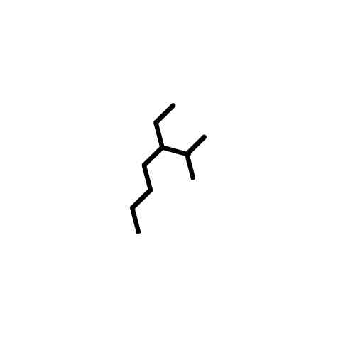 CCCCC(CC)[C](C)C